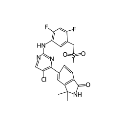 CC1(C)NC(=O)c2ccc(-c3nc(Nc4cc(CS(C)(=O)=O)c(F)cc4F)ncc3Cl)cc21